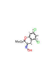 COC(=O)/C(Cc1ccc(Cl)cc1Cl)=N/O